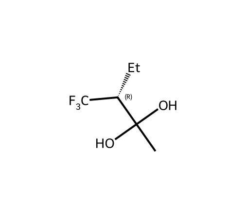 CC[C@H](C(C)(O)O)C(F)(F)F